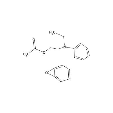 CCN(CCOC(C)=O)c1ccccc1.c1ccc2c(c1)O2